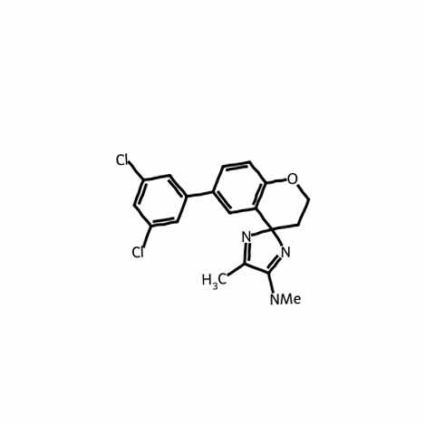 CNC1=NC2(CCOc3ccc(-c4cc(Cl)cc(Cl)c4)cc32)N=C1C